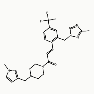 Cc1nnn(Cc2cc(C(F)(F)F)ccc2C=CC(=O)N2CCN(Cc3ccn(C)n3)CC2)n1